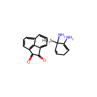 NC1=CCC=CC1(N)S(=O)(=O)O.O=C1C(=O)c2cccc3cccc1c23